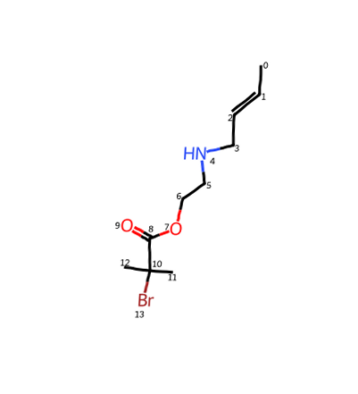 C/C=C/CNCCOC(=O)C(C)(C)Br